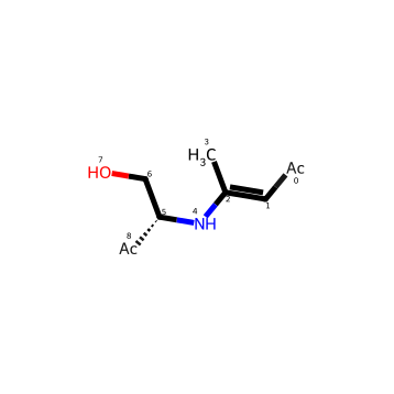 CC(=O)/C=C(\C)N[C@@H](CO)C(C)=O